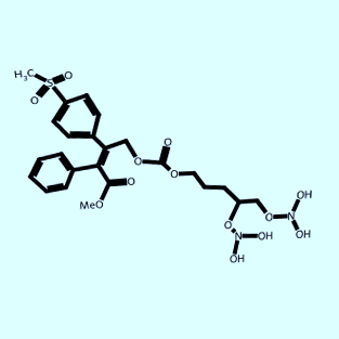 COC(=O)/C(=C(\COC(=O)OCCCC(CON(O)O)ON(O)O)c1ccc(S(C)(=O)=O)cc1)c1ccccc1